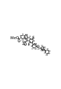 COC(=O)c1ccc2nc(Cc3cc(F)c(-c4cccc(OCc5ccn(-c6ccccc6)n5)n4)cc3F)n(CC3CCO3)c2c1